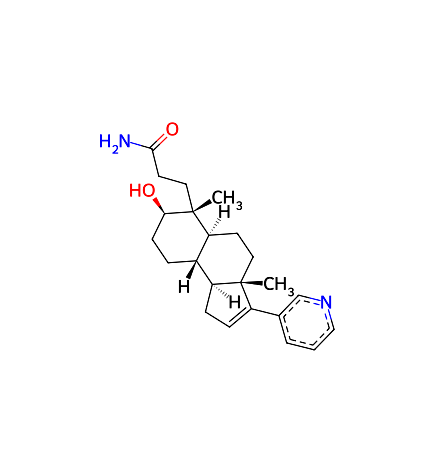 C[C@]1(CCC(N)=O)[C@H](O)CC[C@@H]2[C@@H]1CC[C@]1(C)C(c3cccnc3)=CC[C@@H]21